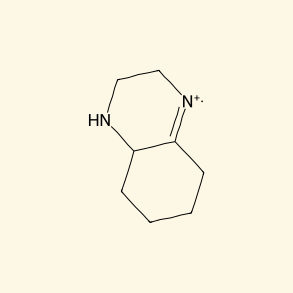 C1CCC2NCC[N+]=C2C1